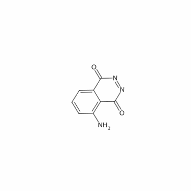 Nc1cccc2c1C(=O)N=NC2=O